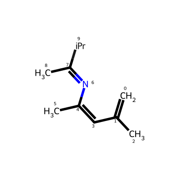 C=C(C)/C=C(C)\N=C(/C)C(C)C